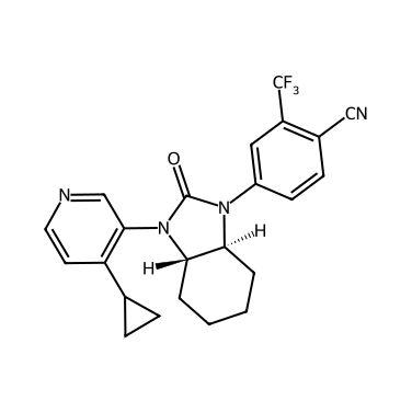 N#Cc1ccc(N2C(=O)N(c3cnccc3C3CC3)[C@H]3CCCC[C@@H]32)cc1C(F)(F)F